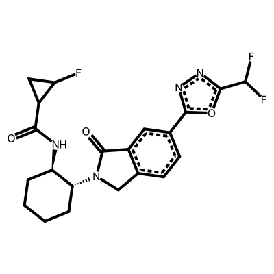 O=C(N[C@@H]1CCCC[C@H]1N1Cc2ccc(-c3nnc(C(F)F)o3)cc2C1=O)C1CC1F